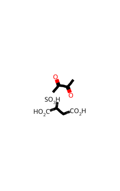 CC(=O)C(C)=O.O=C(O)CC(C(=O)O)S(=O)(=O)O